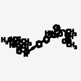 COC(=O)NCC(C)CC(=O)N1CCCC1c1ncc(-c2ccc(-c3ccc(C#Cc4cnc(C5CCCN5C(=O)C(NC(=O)OC)C(C)C)[nH]4)cc3)cc2)[nH]1